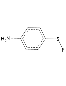 Nc1ccc(SF)cc1